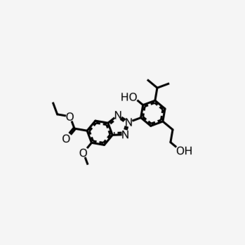 CCOC(=O)c1cc2nn(-c3cc(CCO)cc(C(C)C)c3O)nc2cc1OC